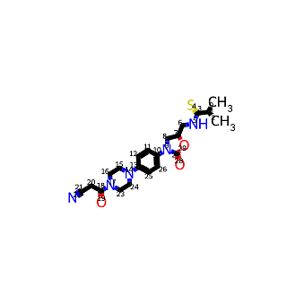 CC(C)C(=S)NCC1CN(c2ccc(N3CCN(C(=O)CC#N)CC3)cc2)C(=O)O1